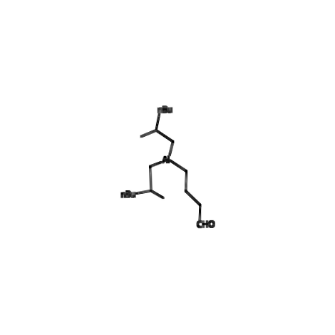 CCCCC(C)[CH2][Al]([CH2]CCC=O)[CH2]C(C)CCCC